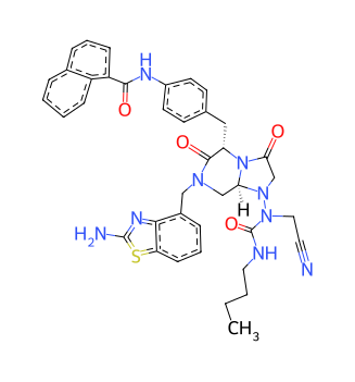 CCCCNC(=O)N(CC#N)N1CC(=O)N2[C@@H](Cc3ccc(NC(=O)c4cccc5ccccc45)cc3)C(=O)N(Cc3cccc4sc(N)nc34)C[C@@H]21